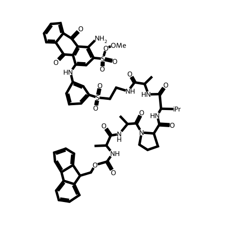 COOS(=O)(=O)c1cc(Nc2cccc(S(=O)(=O)CCNC(=O)C(C)NC(=O)C(NC(=O)C3CCCN3C(=O)C(C)NC(=O)C(C)NC(=O)OCC3c4ccccc4-c4ccccc43)C(C)C)c2)c2c(c1N)C(=O)c1ccccc1C2=O